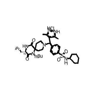 CCCCN1C(=O)[C@H](CC(C)C)NC(=O)C12CCN(C(c1ccc(S(=O)(=O)NC3CCCCC3)cc1)c1c(C)n[nH]c1C)CC2.Cl